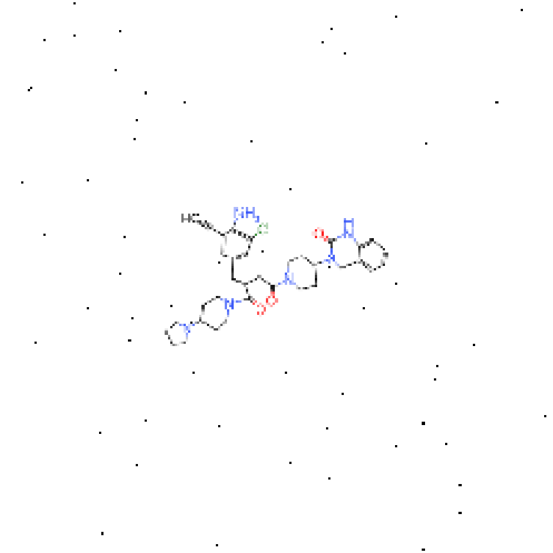 C#Cc1cc(C[C@@H](CC(=O)N2CCC(N3Cc4ccccc4NC3=O)CC2)C(=O)N2CCC(N3CCCC3)CC2)cc(Cl)c1N